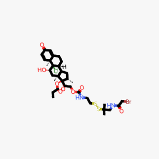 CCC(=O)O[C@]1(C(=O)COC(=O)NCCSSC(C)(C)CNC(=O)CBr)[C@@H](C)CC2[C@@H]3CCC4=CC(=O)C=C[C@]4(C)[C@@]3(Cl)[C@@H](O)C[C@@]21C